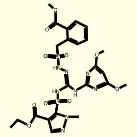 CCOC(=O)c1cnn(C)c1S(=O)(=O)NC(=NNS(=O)(=O)Cc1ccccc1C(=O)OC)Nc1nc(OC)cc(OC)n1